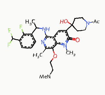 CNCCOc1c(C)nc(NC(C)c2cccc(C(F)F)c2F)c2cc(C3(O)CCN(C(C)=O)CC3)c(=O)n(C)c12